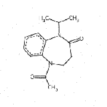 CC(=O)N1CCC(=O)N(C(C)C)c2ccccc21